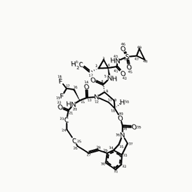 C=C[C@@H]1C[C@]1(NC(=O)[C@@H]1C[C@@H]2CN1C(=O)[C@H](CC(F)F)NC(=O)CCCC/C=C/c1cccc3c1CN(C3)C(=O)O2)C(=O)NS(=O)(=O)C1CC1